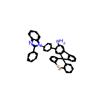 Nc1cc2c(cc1-c1ccc(-n3c(-c4ccccc4)nc4ccccc43)cc1)C1(c3ccccc3Sc3ccccc31)c1ccccc1-2